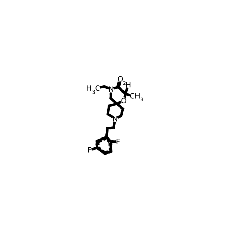 [2H]C1(C)OC2(CCN(CCc3cc(F)ccc3F)CC2)CN(CC)C1=O